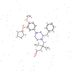 COc1ccc(N2CCN(CC(C)(C)CC=O)C(Cc3ccccc3)C2)cc1OC1CCCC1